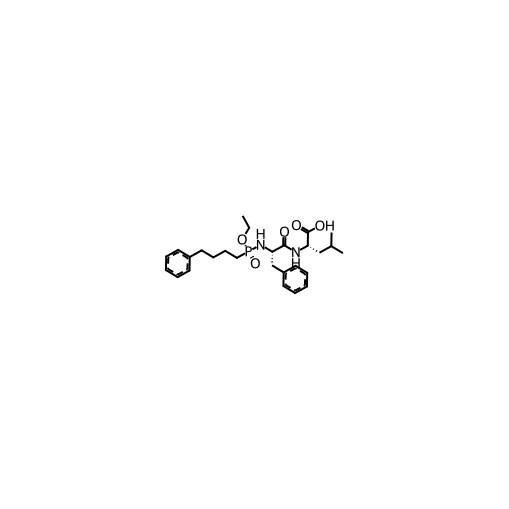 CCOP(=O)(CCCCc1ccccc1)N[C@@H](Cc1ccccc1)C(=O)N[C@@H](CC(C)C)C(=O)O